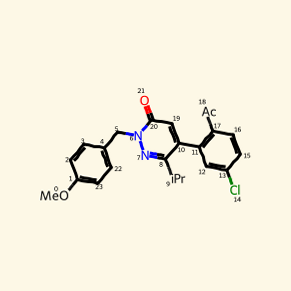 COc1ccc(Cn2nc(C(C)C)c(-c3cc(Cl)ccc3C(C)=O)cc2=O)cc1